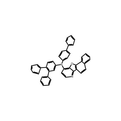 c1ccc(-c2ccc(N(c3ccc(-c4ccccc4)c(-c4ccccc4)c3)c3ccnc4c3oc3c5ccccc5ccc43)cc2)cc1